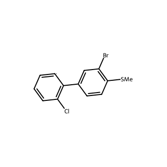 CSc1ccc(-c2[c]cccc2Cl)cc1Br